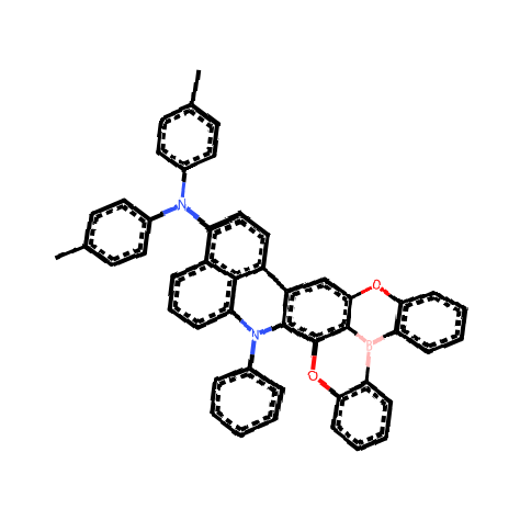 Cc1ccc(N(c2ccc(C)cc2)c2ccc3c4c(cccc24)N(c2ccccc2)c2c-3cc3c4c2Oc2ccccc2B4c2ccccc2O3)cc1